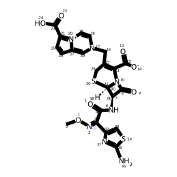 CO/N=C(\C(=O)N[C@@H]1C(=O)N2C(C(=O)[O-])=C(Cn3cc[n+]4c(C(=O)O)ccc-4c3)CS[C@H]12)c1csc(N)n1